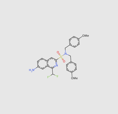 COc1ccc(CN(Cc2ccc(OC)cc2)S(=O)(=O)c2cc3ccc(N)cc3c(C(F)F)n2)cc1